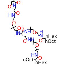 CCCCCCCCC(CCCCCC)C(=O)NCCOCC(C)(C)CNC(=O)[C@H](CCC(=O)NCC(C)(C)COCC(C)(C)CNC(=O)C(CCCCCC)CCCCCCCC)NC(=O)CC(C)(C)COCCNC(=O)CCN1C(=O)C=CC1=O